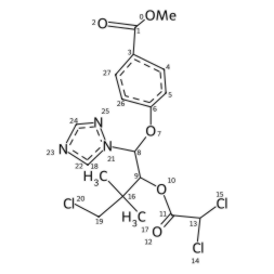 COC(=O)c1ccc(OC(C(OC(=O)C(Cl)Cl)C(C)(C)CCl)n2cncn2)cc1